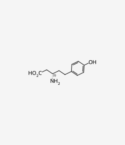 N[C@@H](CCc1ccc(O)cc1)CC(=O)O